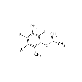 C=C(C)Oc1c(C)c(C)c(F)c(P)c1F